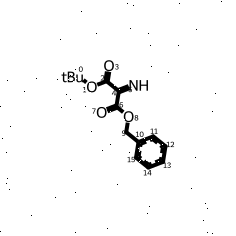 CC(C)(C)OC(=O)C(=N)C(=O)OCc1ccccc1